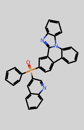 O=P(c1ccccc1)(c1cnc2ccccc2c1)c1ccc2c3ccccc3n3c4ccccc4nc3c2c1